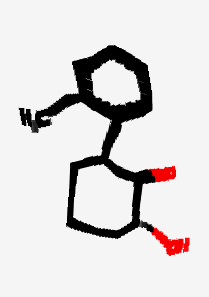 Cc1ccccc1C1CCC[C@@H](O)C1=O